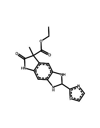 CCOC(=O)C1(C)C(=O)Nc2cc3c(cc21)NC(c1nccs1)N3